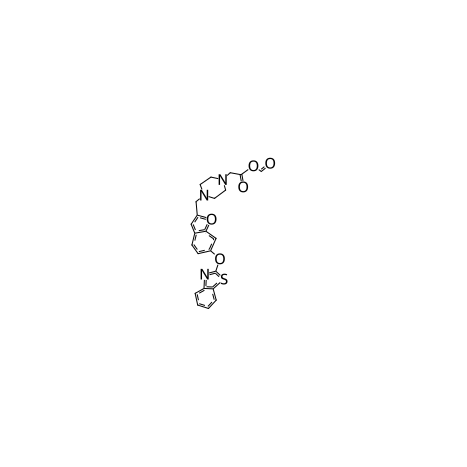 O=COC(=O)CN1CCN(Cc2cc3ccc(Oc4nc5ccccc5s4)cc3o2)CC1